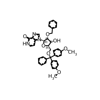 COc1ccc(C(OC[C@H]2O[C@@H](n3cnc4c(=O)[nH]ccc43)[C@H](OCc3ccccc3)[C@@H]2O)(c2ccccc2)c2ccc(OC)cc2)cc1